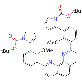 COc1c(-c2ccc3ccc4ccc(-c5cccc(-c6cccn6C(=O)OC(C)(C)C)c5OC)nc4c3n2)cccc1-c1cccn1C(=O)OC(C)(C)C